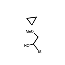 C1CC1.CCC(O)COC